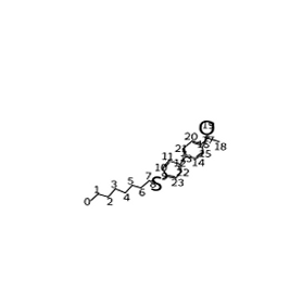 CCCCCCCCSc1ccc(-c2ccc(C(C)=O)cc2)cc1